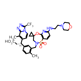 Cc1ccc([C@H](CC(=O)O)c2ccn3c(C(F)(F)F)nnc3c2C)cc1CN1CC2(CC2)Oc2nc(NCCN3CCOCC3)ccc2S1(=O)=O